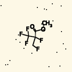 COC(=O)C(F)(CF)C(F)(F)F